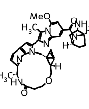 COc1cc(C(=O)N2[C@H]3CC[C@@H]2[C@H](N)C3)cc2nc(-c3cc4ccc5nc4n3C[C@@]34C=C3[C@@H]4COCCC(=O)N[C@@H]5C)c(C)n12